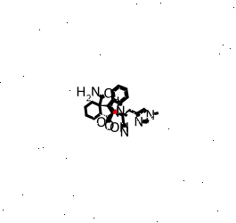 Cn1cnc(C[C@@H](C#N)NC(=O)[C@@H]2CCCC[C@@]2(C(N)=O)c2c(C(=O)O)n(C)c3ccccc23)c1